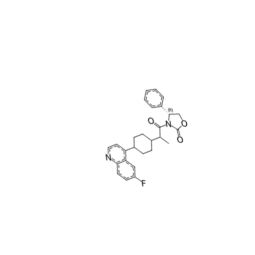 CC(C(=O)N1C(=O)OC[C@H]1c1ccccc1)C1CCC(c2ccnc3ccc(F)cc23)CC1